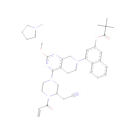 C=CC(=O)N1CCN(c2nc(OC[C@@H]3CCCN3C)nc3c2CCN(c2cc(OC(=O)C(C)(C)C)cc4ccccc24)C3)CC1CC#N